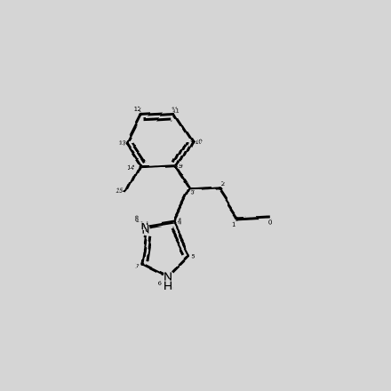 CCCC(c1c[nH]cn1)c1ccccc1C